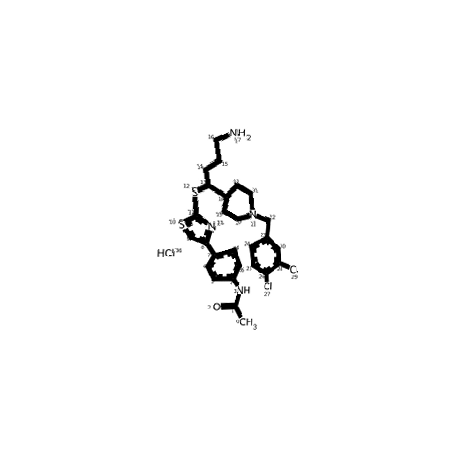 CC(=O)Nc1ccc(-c2csc(SC(CCCN)C3CCN(Cc4ccc(Cl)c(Cl)c4)CC3)n2)cc1.Cl